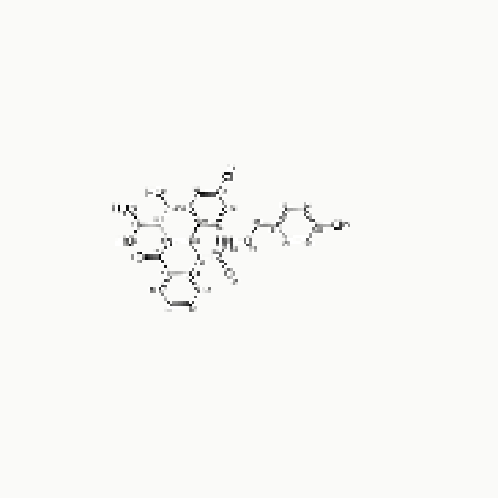 C[C@H](O)[C@H](CO)N1C(=O)c2ccccc2[C@@H](C(=O)NOCc2ccc(Cl)cc2)[C@@H]1c1ccc(Cl)cc1